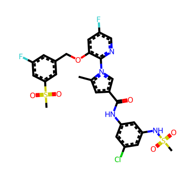 Cc1cc(C(=O)Nc2cc(Cl)cc(NS(C)(=O)=O)c2)cn1-c1ncc(F)cc1OCc1cc(F)cc(S(C)(=O)=O)c1